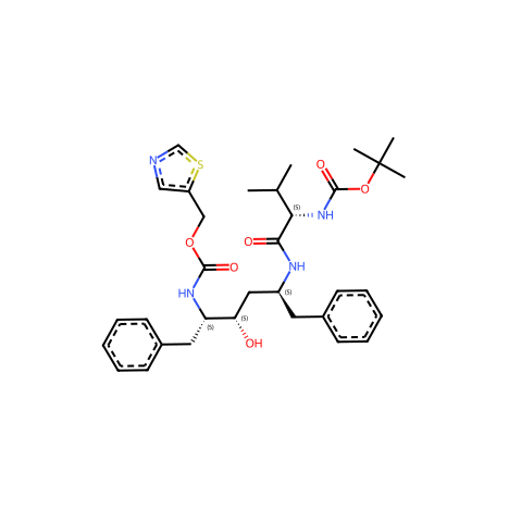 CC(C)[C@H](NC(=O)OC(C)(C)C)C(=O)N[C@@H](Cc1ccccc1)C[C@H](O)[C@H](Cc1ccccc1)NC(=O)OCc1cncs1